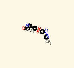 CNC1(c2cc(-c3ccc(S(=O)(=O)[C@H]4CC[C@H](Nc5ccc(C(F)(F)F)cn5)CC4)cc3)ccn2)COC1